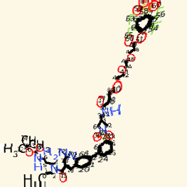 CCCN(CCCNC(=O)OC(C)(C)C)C(=O)C1=Cc2ccc(-c3cccc(S(=O)(=O)N4CC(CNC(=O)CCOCCOCCOCCC(=O)Oc5c(F)c(F)c(S(=O)(=O)O)c(F)c5F)C4)c3)cc2N=C(N)C1